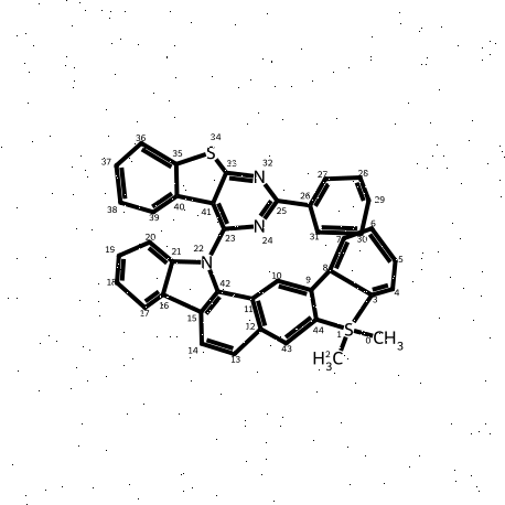 CS1(C)c2ccccc2-c2cc3c(ccc4c5ccccc5n(-c5nc(-c6ccccc6)nc6sc7ccccc7c56)c34)cc21